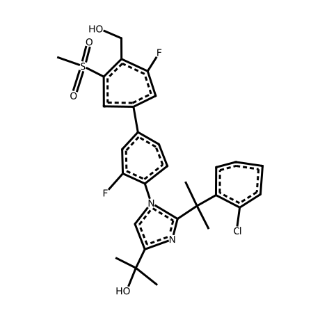 CC(C)(O)c1cn(-c2ccc(-c3cc(F)c(CO)c(S(C)(=O)=O)c3)cc2F)c(C(C)(C)c2ccccc2Cl)n1